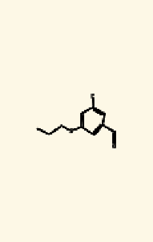 CCCSc1cc(F)cc(C=O)c1